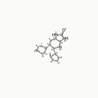 O=c1[nH]c2cc(-c3ccncc3)c(-c3cccs3)nc2[nH]1